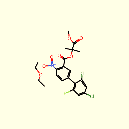 CCOCC.COC(=O)C(C)(C)OC(=O)c1cc(-c2c(F)cc(Cl)cc2Cl)ccc1[N+](=O)[O-]